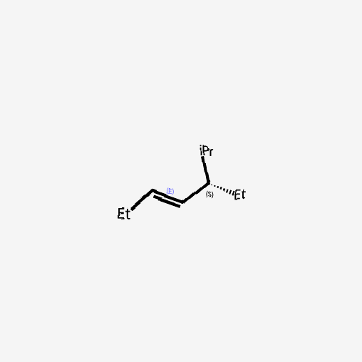 CC/C=C/[C@@H](CC)C(C)C